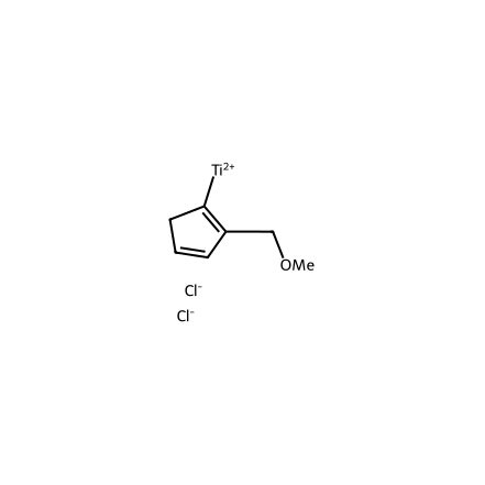 COCC1=[C]([Ti+2])CC=C1.[Cl-].[Cl-]